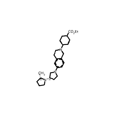 CCOC(=O)C1CCC(N2CCc3cc(N4CC[C@H](N5CCC[C@@H]5C)C4)ccc3C2)CC1